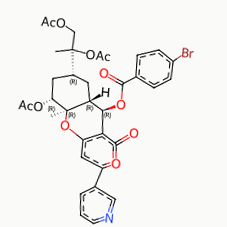 CC(=O)OCC(C)(OC(C)=O)[C@@H]1C[C@@H]2[C@@H](OC(=O)c3ccc(Br)cc3)c3c(cc(-c4cccnc4)oc3=O)O[C@@]2(C)[C@H](OC(C)=O)C1